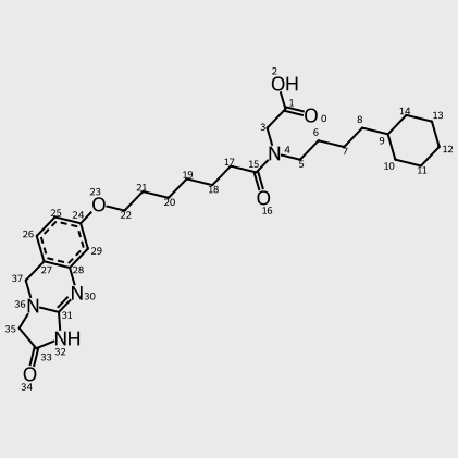 O=C(O)CN(CCCCC1CCCCC1)C(=O)CCCCCCOc1ccc2c(c1)N=C1NC(=O)CN1C2